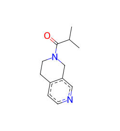 CC(C)C(=O)N1CCc2ccncc2C1